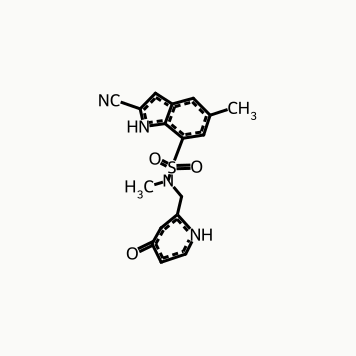 Cc1cc(S(=O)(=O)N(C)Cc2cc(=O)cc[nH]2)c2[nH]c(C#N)cc2c1